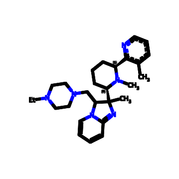 CCN1CCN(CC2N3C=CC=CC3=NC2(C)[C@H]2CCC[C@@H](c3ncccc3C)N2C)CC1